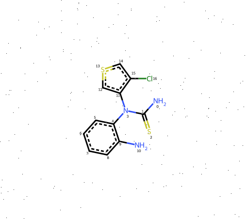 NC(=S)N(c1ccccc1N)c1cscc1Cl